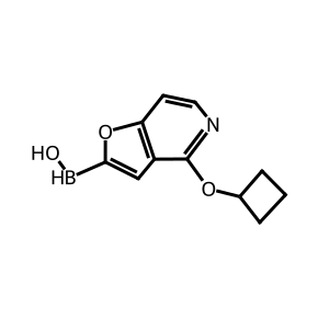 OBc1cc2c(OC3CCC3)nccc2o1